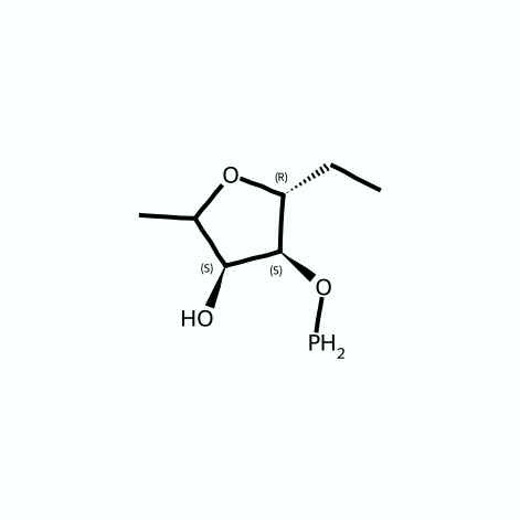 CC[C@H]1OC(C)[C@H](O)[C@@H]1OP